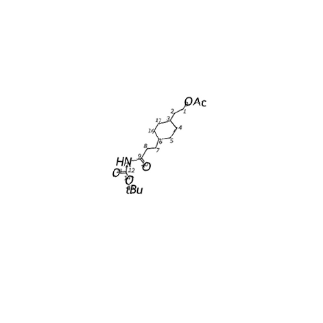 CC(=O)OCCC1CCC(CCC(=O)NC(=O)OC(C)(C)C)CC1